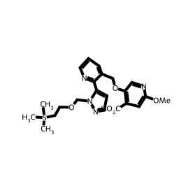 COc1cc(C(=O)O)c(OCc2cccnc2-c2ccnn2COCCS(C)(C)C)cn1